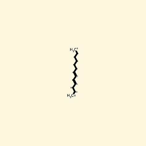 C[CH]CCCCC=CC=CCCC